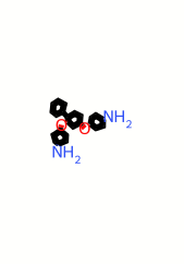 Nc1ccc(Oc2ccc(-c3ccccc3)c(Oc3ccc(N)cc3)c2)cc1